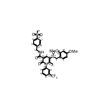 COc1ccc(C[S+]([O-])c2cc(C(=O)NCc3ccc(S(C)(=O)=O)cc3)c(=O)n(-c3cccc(C(F)(F)F)c3)c2C)c(OC)c1